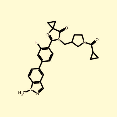 Cn1ncc2cc(-c3ccc(C4=NC5(CC5)C(=O)N4CC4CCN(C(=O)C5CC5)C4)c(F)c3)ccc21